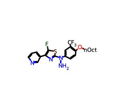 CCCCCCCCOc1ccc(N(N)c2nc(-c3cccnc3)c(F)s2)cc1C(F)(F)F